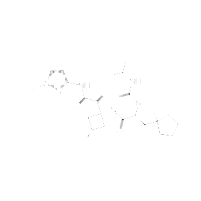 CC(C)NC(=O)N[C@@H](CC1(F)CCCC1)C(=O)N[C@]1(C(=O)C(=O)Nc2ccn(C)n2)C[C@@H](F)C1